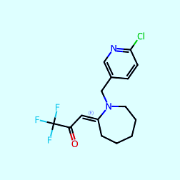 O=C(/C=C1\CCCCCN1Cc1ccc(Cl)nc1)C(F)(F)F